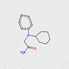 NC(=O)CN(c1ccccc1)C1CCCCC1